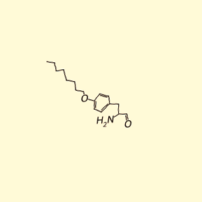 CCCCCCCCOc1ccc(CC(N)C=O)cc1